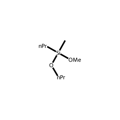 CCCO[Si](C)(CCC)OC